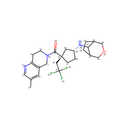 Cc1cnc2c(c1)CN(C(=O)[C@@]1(CC(F)(F)F)CC[C@@H](NC3C4CCC3COC4)C1)CC2